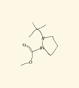 COC(=O)N1CCCN1C(C)(C)C